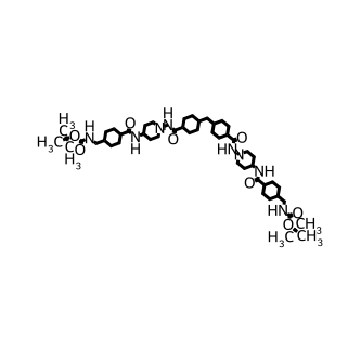 CC(C)(C)OC(=O)NCC1CCC(C(=O)NC2CCN(NC(=O)C3CCC(CC4CCC(C(=O)NN5CCC(NC(=O)C6CCC(CNC(=O)OC(C)(C)C)CC6)CC5)CC4)CC3)CC2)CC1